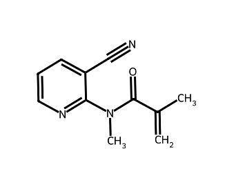 C=C(C)C(=O)N(C)c1ncccc1C#N